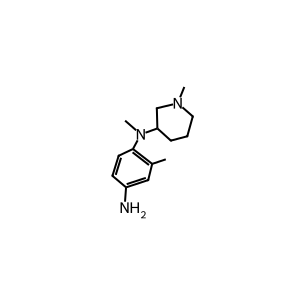 Cc1cc(N)ccc1N(C)C1CCCN(C)C1